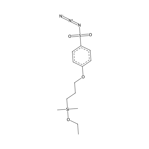 CCO[Si](C)(C)CCCOc1ccc(S(=O)(=O)N=[N+]=[N-])cc1